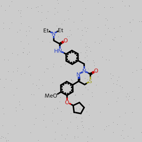 CCN(CC)CC(=O)Nc1ccc(CN2N=C(c3ccc(OC)c(OC4CCCC4)c3)CSC2=O)cc1